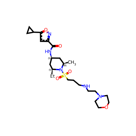 CC[C@H]1C[C@@H](NC(=O)c2cc(C3CC3)on2)C[C@@H](C)N1S(=O)(=O)CCCNCCN1CCOCC1